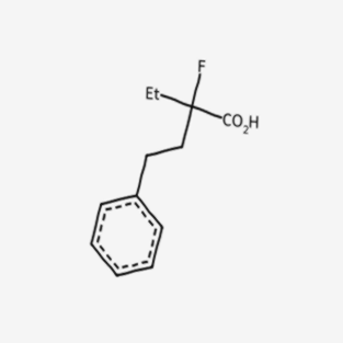 CCC(F)(CCc1ccccc1)C(=O)O